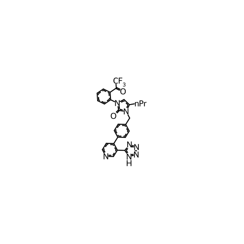 CCCc1cn(-c2ccccc2C(=O)C(F)(F)F)c(=O)n1Cc1ccc(-c2ccncc2-c2nnn[nH]2)cc1